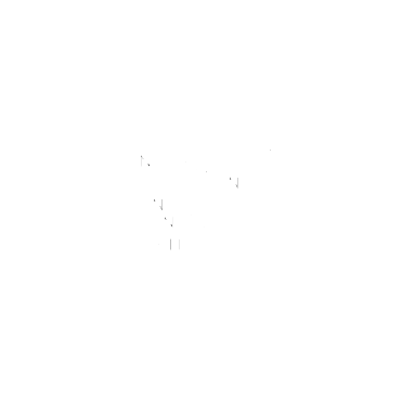 CNC(=S)C(CN1CCOCC1)(OC)c1cnccn1